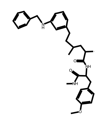 [CH2]C(CC(C)CCc1cccc(NCc2ccccc2)c1)C(=O)NC(Cc1ccc(OC)cc1)C(=O)NC